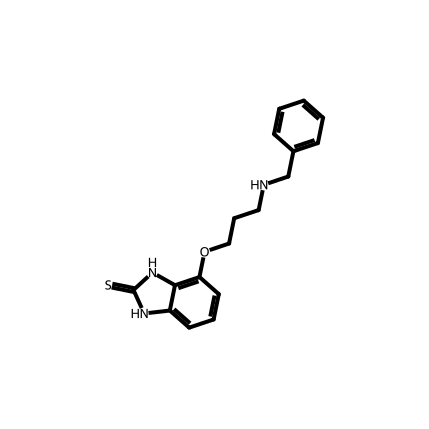 S=c1[nH]c2cccc(OCCCNCc3ccccc3)c2[nH]1